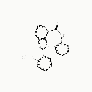 CSc1ccccc1-c1nc2cccc3c2n1-c1ccccc1NC3=O